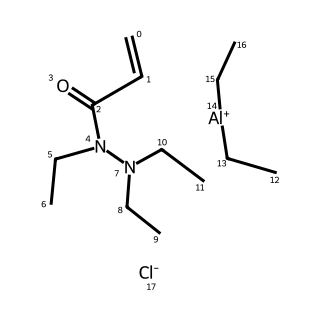 C=CC(=O)N(CC)N(CC)CC.C[CH2][Al+][CH2]C.[Cl-]